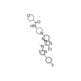 CCc1nc2ccc(N3CCC(NC(=O)C4CCOCC4)CC3)nn2c1N(C)c1nc(-c2ccc(F)cc2)cs1